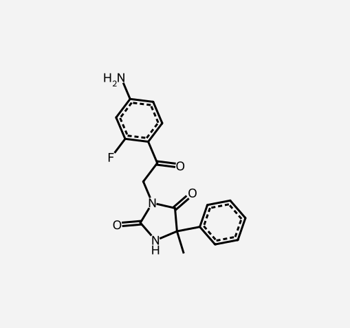 CC1(c2ccccc2)NC(=O)N(CC(=O)c2ccc(N)cc2F)C1=O